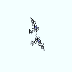 C#CCOc1cccc2c(/N=C3/C(=O)N(CCCCCCN4C(=O)/C(=N/c5cccc6c(OCC#C)cccc56)c5ccc(C(F)(F)F)cc54)c4cc(C(F)(F)F)ccc43)cccc12